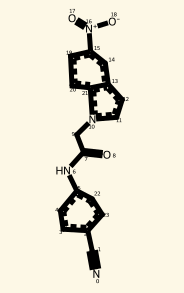 N#Cc1ccc(NC(=O)Cn2ccc3cc([N+](=O)[O-])ccc32)cc1